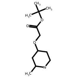 CC1CC(OCC(=O)OC(C)(C)C)CC[N]1